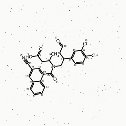 CC(CC(=O)O)N(CC(CC=O)c1ccc(Cl)c(Cl)c1)C(=O)c1cc(C#N)cc2ccccc12